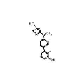 CN(c1ccc(-c2cccc(O)c2F)cn1)c1nnn(C)n1